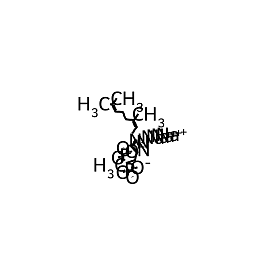 CC(C)=CCCC(C)=CCn1cc(CC(C)(P(=O)([O-])[O-])P(=O)([O-])[O-])nn1.[Na+].[Na+].[Na+].[Na+]